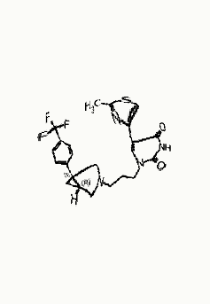 Cc1nc(-c2cn(CCCN3C[C@@H]4C[C@]4(c4ccc(C(F)(F)F)cc4)C3)c(=O)[nH]c2=O)cs1